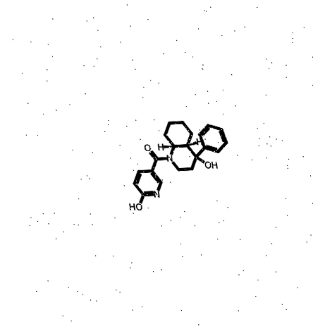 O=C(c1ccc(O)nc1)N1CCC(O)(c2ccccc2)[C@H]2CCCC[C@H]21